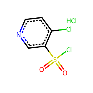 Cl.O=S(=O)(Cl)c1cnccc1Cl